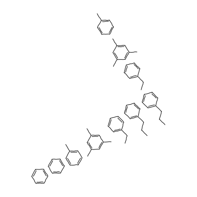 CCCc1ccccc1.CCCc1ccccc1.CCc1ccccc1.CCc1ccccc1.Cc1cc(C)cc(C)c1.Cc1cc(C)cc(C)c1.Cc1ccccc1.Cc1ccccc1.c1ccccc1.c1ccccc1